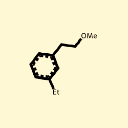 CCc1cccc(CCOC)c1